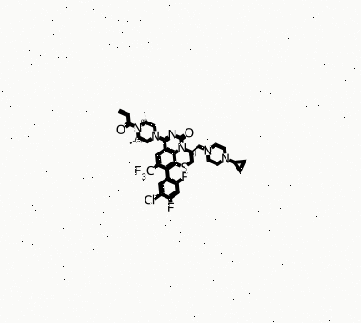 C=CC(=O)N1[C@H](C)CN(c2nc(=O)n3c4c(c(-c5cc(Cl)c(F)cc5F)c(C(F)(F)F)cc24)SC[C@@H]3CN2CCN(C3CC3)CC2)C[C@@H]1C